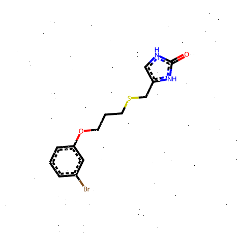 O=c1[nH]cc(CSCCCOc2cccc(Br)c2)[nH]1